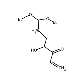 C=CC(=O)C(O)C[SiH2]C(OCC)OCC